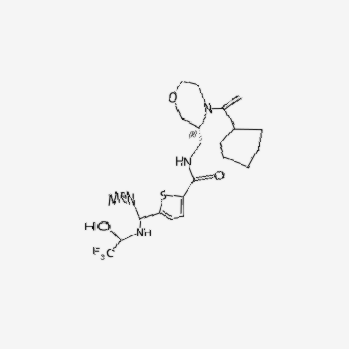 C=C(C1CCCCC1)N1CCOC[C@H]1CNC(=O)c1ccc(C(NC)NC(O)C(F)(F)F)s1